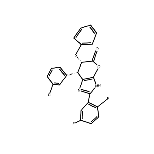 O=C1Oc2[nH]c(-c3cc(F)ccc3F)nc2[C@H](c2cccc(Cl)c2)[C@@H]1Cc1ccccc1